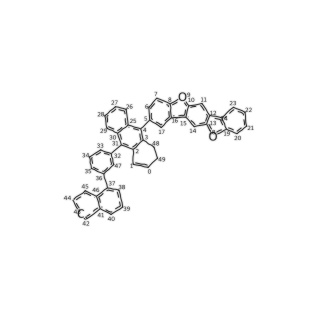 C1=Cc2c(c(-c3ccc4oc5cc6c(cc5c4c3)oc3ccccc36)c3ccccc3c2-c2cccc(-c3cccc4ccccc34)c2)CC1